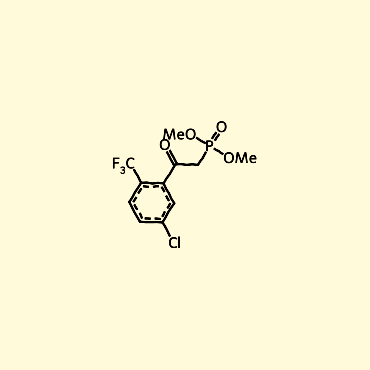 COP(=O)(CC(=O)c1cc(Cl)ccc1C(F)(F)F)OC